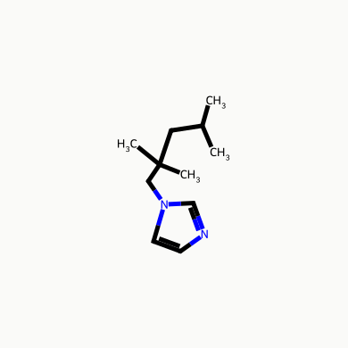 CC(C)CC(C)(C)Cn1ccnc1